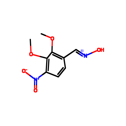 COc1c(/C=N/O)ccc([N+](=O)[O-])c1OC